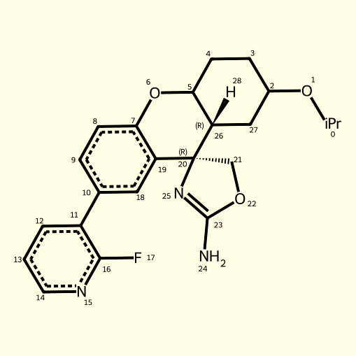 CC(C)OC1CCC2Oc3ccc(-c4cccnc4F)cc3[C@@]3(COC(N)=N3)[C@H]2C1